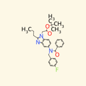 CCCc1nc2cc(N(Cc3ccc(F)cc3)C(=O)c3ccccc3)ccc2n1CC(=O)OC(C)(C)C